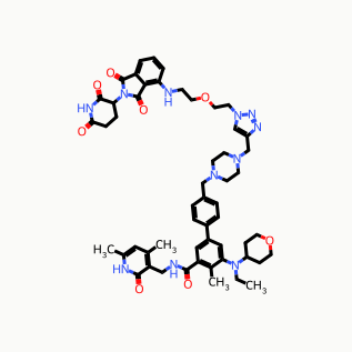 CCN(c1cc(-c2ccc(CN3CCN(Cc4cn(CCOCCNc5cccc6c5C(=O)N(C5CCC(=O)NC5=O)C6=O)nn4)CC3)cc2)cc(C(=O)NCc2c(C)cc(C)[nH]c2=O)c1C)C1CCOCC1